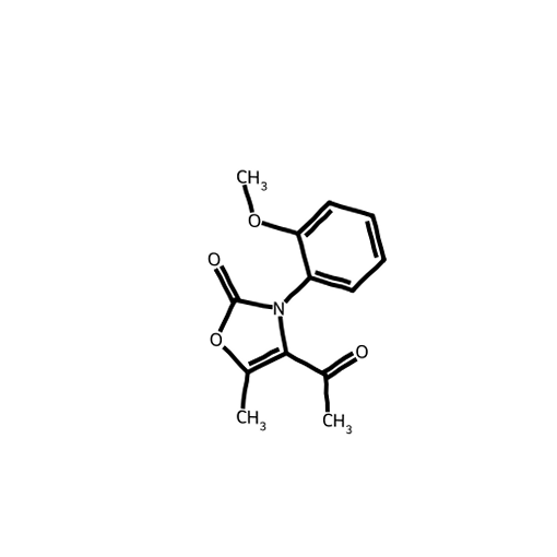 COc1ccccc1-n1c(C(C)=O)c(C)oc1=O